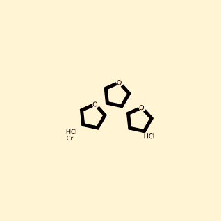 C1CCOC1.C1CCOC1.C1CCOC1.Cl.Cl.[Cr]